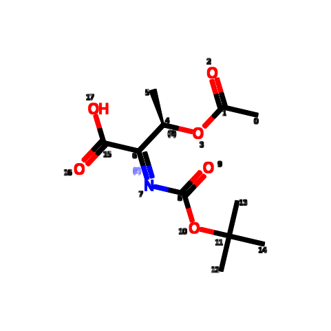 CC(=O)O[C@H](C)/C(=N\C(=O)OC(C)(C)C)C(=O)O